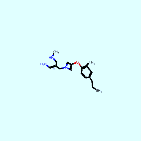 BCCc1ccc(OC2CN(C/C(=C/N)CNC)C2)c(C)c1